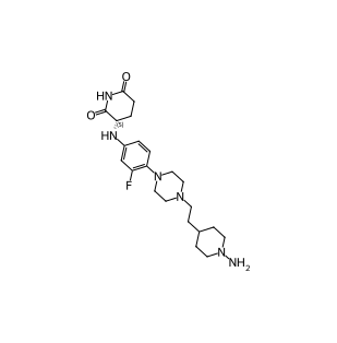 NN1CCC(CCN2CCN(c3ccc(N[C@H]4CCC(=O)NC4=O)cc3F)CC2)CC1